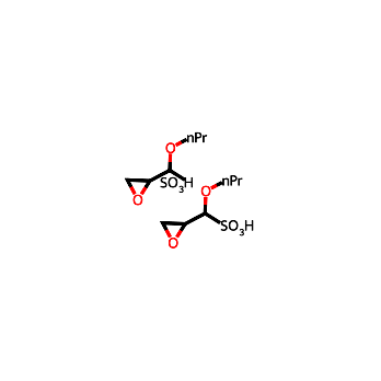 CCCOC(C1CO1)S(=O)(=O)O.CCCOC(C1CO1)S(=O)(=O)O